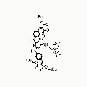 CC(C)(C)COC(=O)C(=Cc1ccc(Nc2nc(NCCC[Si](C)(O[Si](C)(C)C)O[Si](C)(C)C)nc(Nc3ccc(C=C(C(=O)OCC(C)(C)C)C(=O)OCC(C)(C)C)cc3)n2)cc1)C(=O)OCC(C)(C)C